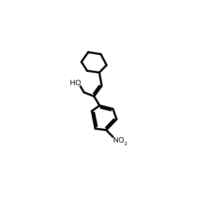 O=[N+]([O-])c1ccc(C(=CC2CCCCC2)CO)cc1